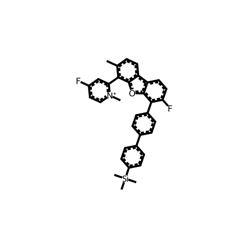 Cc1ccc2c(oc3c(-c4ccc(-c5ccc([Si](C)(C)C)cc5)cc4)c(F)ccc32)c1-c1cc(F)cc[n+]1C